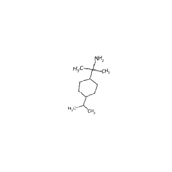 CC(C)C1CCC(C(C)(C)N)CC1